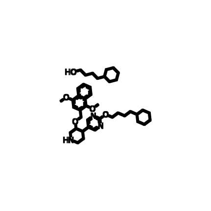 COc1cc(COC2CNCCC2c2cnc(OCCCCC3CCCCC3)nc2)c(OC)c2ccccc12.OCCCCC1CCCCC1